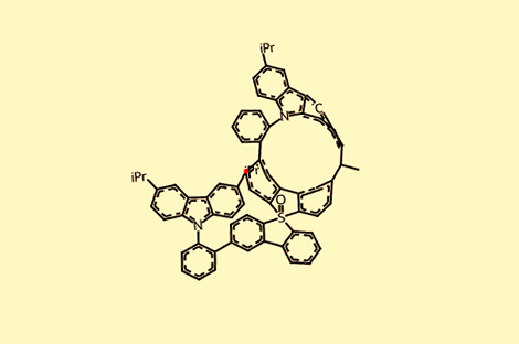 CC(C)c1ccc2c(c1)c1cc(C(C)C)ccc1n2-c1ccccc1-c1ccc2c(c1)-c1ccccc1S21(=O)c2ccc3cc2-c2cc(ccc21)C(C)c1ccc2c(c1)c1cc(C(C)C)ccc1n2-c1ccccc1-3